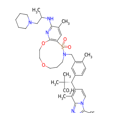 Cc1ccc([C@H](c2ccn3c(C(F)(F)F)nnc3c2C)C(C)(C)C(=O)O)cc1CN1CCCOCCOc2nc(NC(C)CN3CCCCC3)c(C)cc2S1(=O)=O